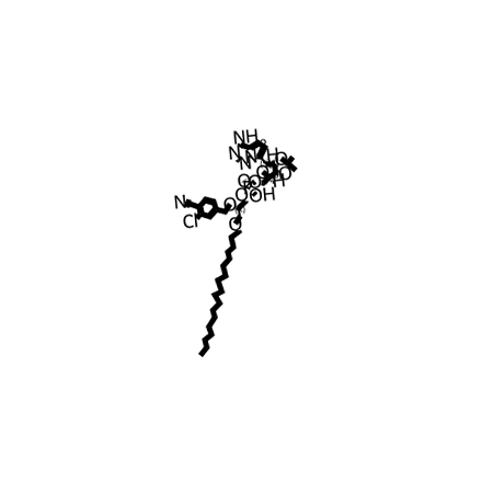 CCCCCCCCCCCCCCCCCCOC[C@H](COP(=O)(O)OC[C@@]1(C)O[C@@H](c2ccc3c(N)ncnn23)[C@@H]2OC(C)(C)O[C@@H]21)OCc1ccc(C#N)c(Cl)c1